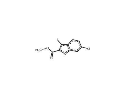 COC(=O)c1sc2cc(Cl)ccc2c1I